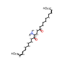 CCCCCCCC/C=C\CCCCCCCC(=O)CCC(C(=O)CCCCCCC/C=C\CCCCCCCC)N(C)C